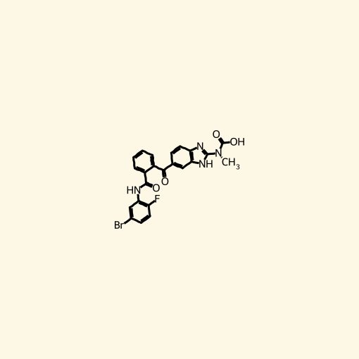 CN(C(=O)O)c1nc2ccc(C(=O)c3ccccc3C(=O)Nc3cc(Br)ccc3F)cc2[nH]1